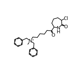 C[N+](CCCCCC(=O)C1CCCC(Cl)C(=O)N1)(Cc1ccccc1)Cc1ccccc1